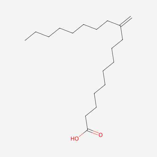 C=C(CCCCCCCC)CCCCCCCCC(=O)O